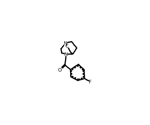 O=C(c1ccc(F)cc1)N1CCN2CCC1CC2